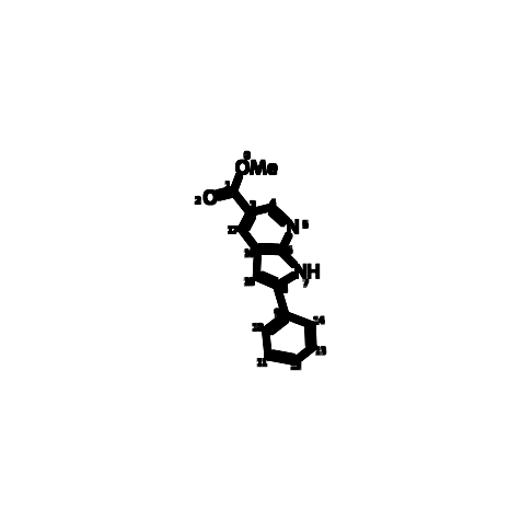 COC(=O)c1cnc2[nH]c(-c3ccccc3)cc2c1